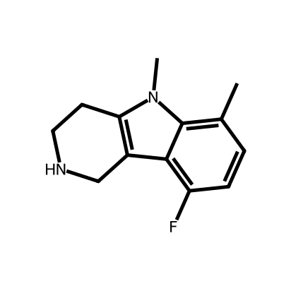 Cc1ccc(F)c2c3c(n(C)c12)CCNC3